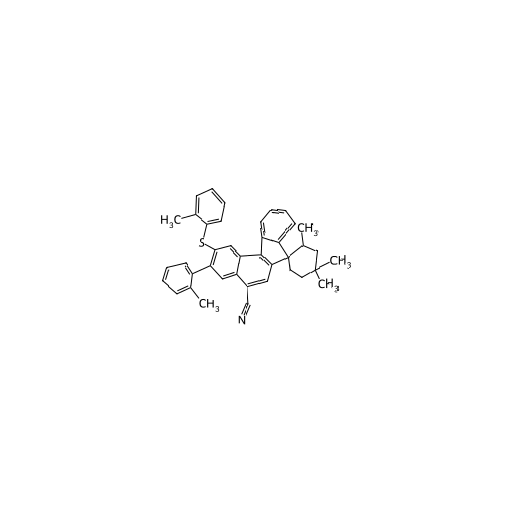 Cc1ccccc1Sc1cc2c3c(cc(C#N)c2cc1-c1ccccc1C)C1(CCC(C)(C)CC1C)c1ccccc1-3